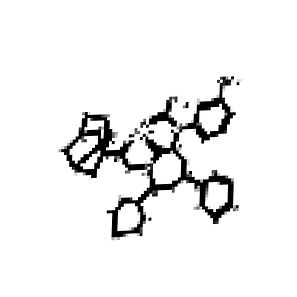 COc1cccc(N(C(N)=O)C2CC(c3ccccc3)CC(C3CCCCC3)N(CC(=O)C34CC5CC(CC(C5)C3)C4)C2=O)c1